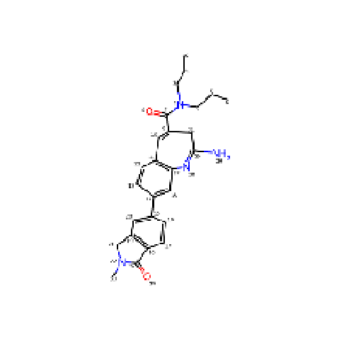 CCCN(CCC)C(=O)C1=Cc2ccc(-c3ccc4c(c3)CN(C)C4=O)cc2N=C(N)C1